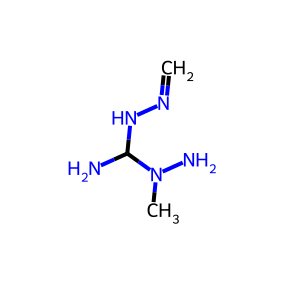 C=NNC(N)N(C)N